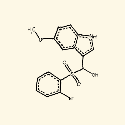 COc1ccc2[nH]cc(C(O)S(=O)(=O)c3ccccc3Br)c2c1